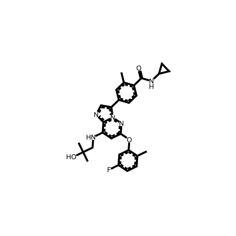 Cc1ccc(F)cc1Oc1cc(NCC(C)(C)O)c2ncc(-c3ccc(C(=O)NC4CC4)c(C)c3)n2n1